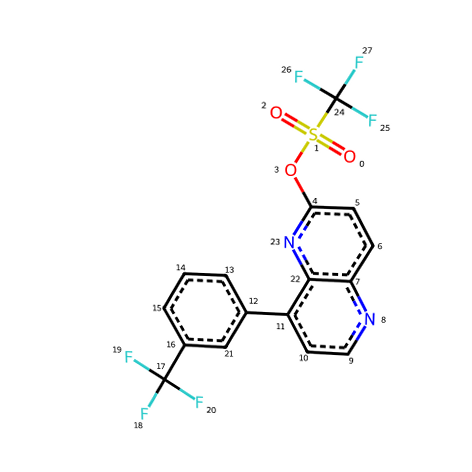 O=S(=O)(Oc1ccc2nccc(-c3cccc(C(F)(F)F)c3)c2n1)C(F)(F)F